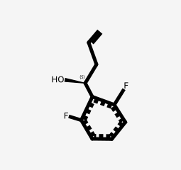 C=CC[C@H](O)c1c(F)cccc1F